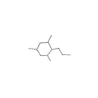 CCCC1C(C)CC(C)CC1C